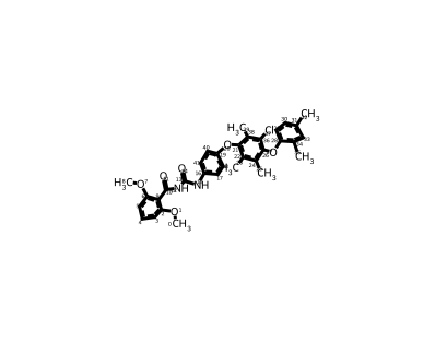 COc1cccc(OC)c1C(=O)NC(=O)Nc1ccc(Oc2c(C)c(C)c(Oc3ccc(C)cc3C)c(Cl)c2C)cc1